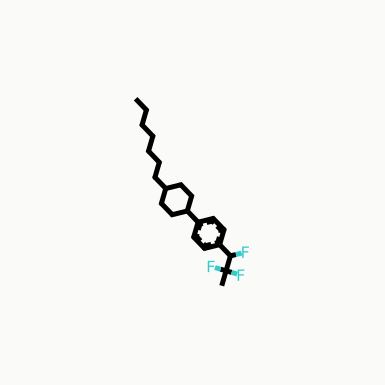 CCCCCCCC1CCC(c2ccc(C(F)C(C)(F)F)cc2)CC1